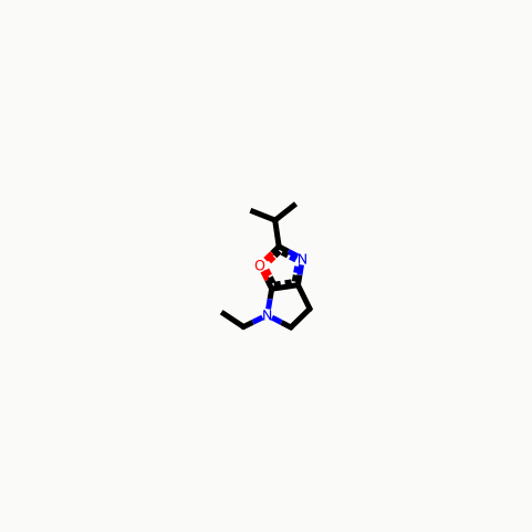 CCN1CCc2nc(C(C)C)oc21